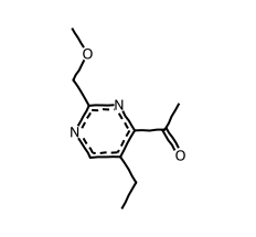 CCc1cnc(COC)nc1C(C)=O